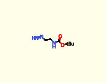 CC(C)(C)OC(=O)NCCN=N